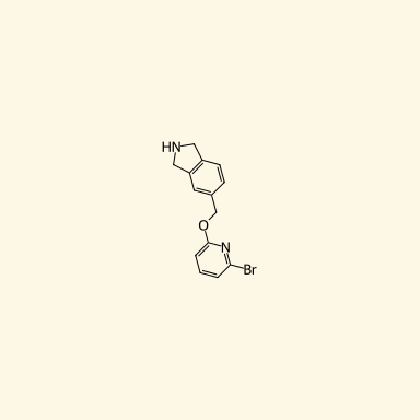 Brc1cccc(OCc2ccc3c(c2)CNC3)n1